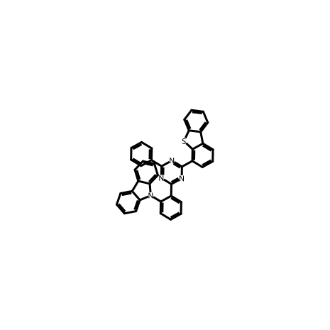 c1ccc(-c2nc(-c3ccccc3-n3c4ccccc4c4ccccc43)nc(-c3cccc4c3sc3ccccc34)n2)cc1